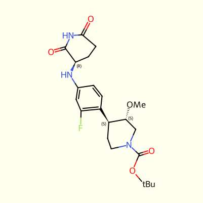 CO[C@@H]1CN(C(=O)OC(C)(C)C)CC[C@H]1c1ccc(N[C@@H]2CCC(=O)NC2=O)cc1F